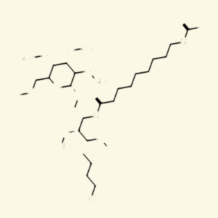 CCCCCCCCCCCCCC[C@@H](OCCCC)[C@@H](OCCCC)[C@H](CO[C@H]1OC(COCCCC)[C@H](OCCCC)[C@H](OCCCC)C1OCCCC)NC(=O)CCCCCCCCNC(=O)C(F)(F)F